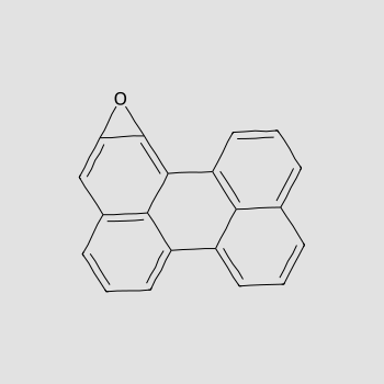 c1cc2cccc3c2c(c1)c1cccc2cc4oc4c3c21